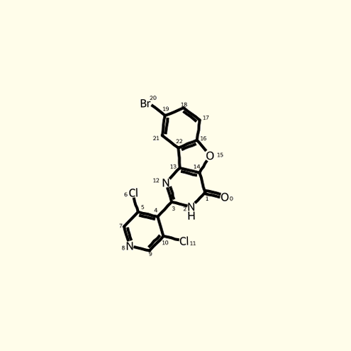 O=c1[nH]c(-c2c(Cl)cncc2Cl)nc2c1oc1ccc(Br)cc12